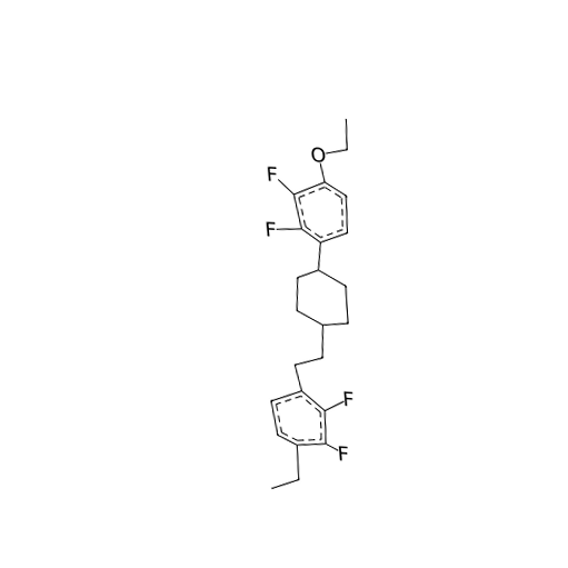 CCOc1ccc(C2CCC(CCc3ccc(CC)c(F)c3F)CC2)c(F)c1F